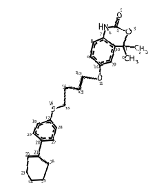 CC1(C)OC(=O)Nc2ccc(OCCCCSc3ccc(C4CCCCC4)cc3)cc21